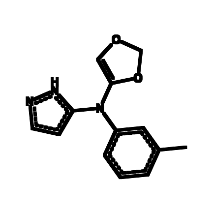 Cc1cccc(N(C2=COCO2)c2ccn[nH]2)c1